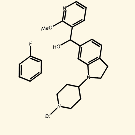 CCN1CCC(N2CCc3ccc(C(O)c4cccnc4OC)cc32)CC1.Fc1ccccc1